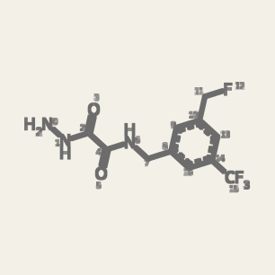 NNC(=O)C(=O)NCc1cc(CF)cc(C(F)(F)F)c1